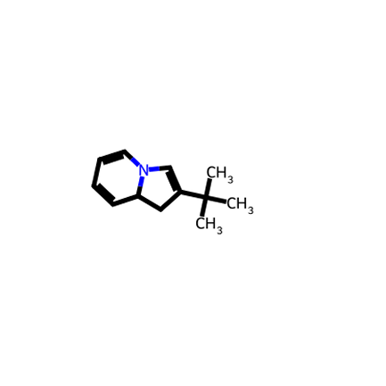 CC(C)(C)C1=CN2C=CC=CC2C1